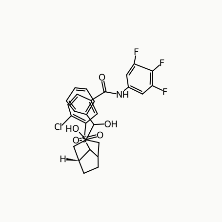 O=C(Nc1cc(F)c(F)c(F)c1)c1ccc(Cl)c(S(=O)(=O)C2C3CC[C@@H]2CC(O)(C(O)c2ccccc2)C3)c1